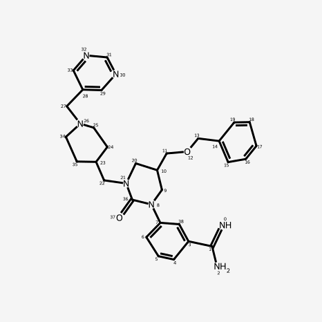 N=C(N)c1cccc(N2CC(COCc3ccccc3)CN(CC3CCN(Cc4cncnc4)CC3)C2=O)c1